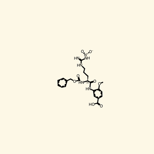 COc1ccc(C(=O)O)cc1NC(=O)[C@H](CCCNC(=N)N[N+](=O)[O-])NC(=O)OCc1ccccc1